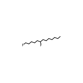 CCCCCCCC(F)CCCCCF